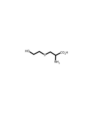 NC(CSCCO)C(=O)O